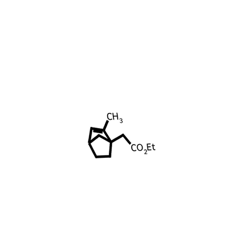 CCOC(=O)CC12CCC(C=C1C)C2